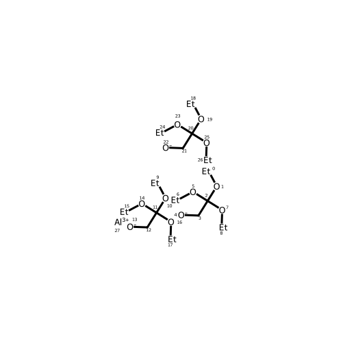 CCOC(C[O-])(OCC)OCC.CCOC(C[O-])(OCC)OCC.CCOC(C[O-])(OCC)OCC.[Al+3]